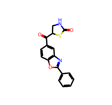 O=C1NCC(C(=O)c2ccc3oc(-c4ccccc4)nc3c2)S1